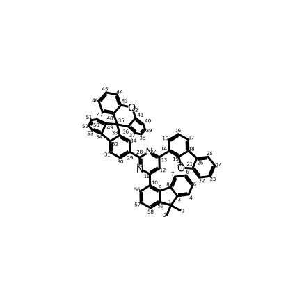 CC1(C)c2ccccc2-c2c(-c3cc(-c4cccc5c4oc4ccccc45)nc(-c4ccc5c(c4)C4(c6ccccc6Oc6ccccc64)c4ccccc4-5)n3)cccc21